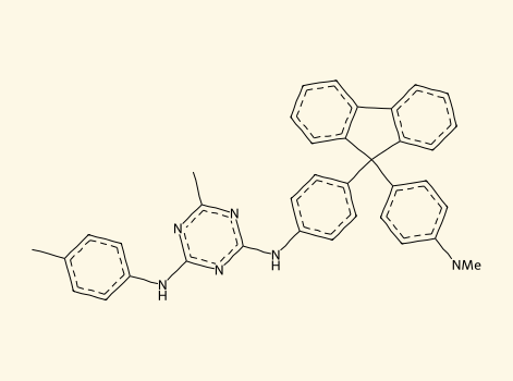 CNc1ccc(C2(c3ccc(Nc4nc(C)nc(Nc5ccc(C)cc5)n4)cc3)c3ccccc3-c3ccccc32)cc1